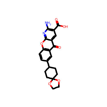 Nc1nc2oc3ccc(C4CCC5(CC4)OCCO5)cc3c(=O)c2cc1C(=O)O